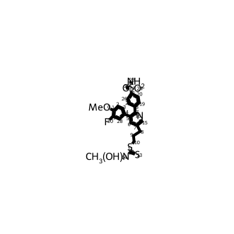 COc1ccc(-c2cc(CCCSC(=S)N(C)O)cnc2-c2ccc(S(N)(=O)=O)cc2)cc1F